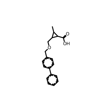 CC1C(COCc2ccc(-c3ccccc3)cc2)C1C(=O)O